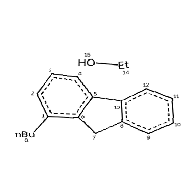 CCCCc1cccc2c1Cc1ccccc1-2.CCO